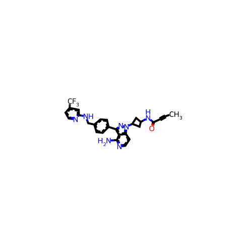 CC#CC(=O)NC1CC(n2nc(-c3ccc(CNc4cc(C(F)(F)F)ccn4)cc3)c3c(N)nccc32)C1